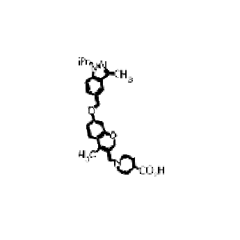 CC1=C(CN2CCC(C(=O)O)CC2)COc2cc(OCc3ccc4c(c3)c(C)nn4C(C)C)ccc21